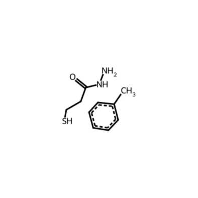 Cc1ccccc1.NNC(=O)CCS